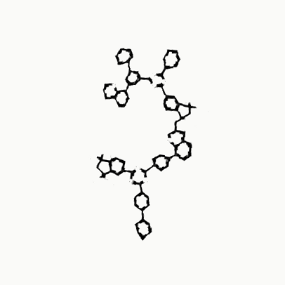 CC1(C)CC(C)(C)c2cc(-c3nc(-c4ccc(-c5ccccc5)cc4)nc(-c4ccc(-c5cccc6cc(CC7(C)CC(C)(C)c8cc(-c9nc(-c%10ccccc%10)nc(-c%10cc(-c%11ccccc%11)cc(-c%11cccc%12cccnc%11%12)c%10)n9)ccc87)cnc56)cc4)n3)ccc21